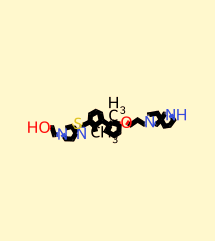 Cc1c(OCCCN2CCC3(CCCNC3)C2)cccc1-c1cccc(-c2nc3c(s2)CN(CCO)CC3)c1C